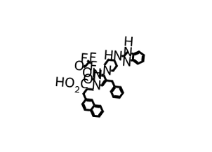 O=C(O)C(Cc1ccc2ccccc2c1)Cn1cc(Cc2ccccc2)c(N2CCC(Nc3nc4ccccc4[nH]3)CC2)nc1=O.O=C(O)C(F)(F)F